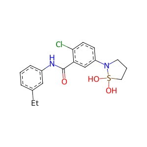 CCc1cccc(NC(=O)c2cc(N3CCCS3(O)O)ccc2Cl)c1